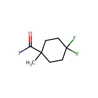 CC1(C(=O)I)CCC(F)(F)CC1